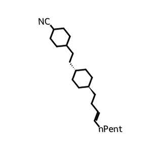 CCCCC/C=C/CC[C@H]1CC[C@H](CCC2CCC(C#N)CC2)CC1